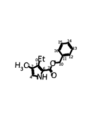 CCc1c(C)c[nH]c1C(=O)OCc1ccccc1